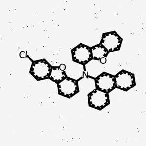 Clc1ccc2c(c1)oc1c(N(c3cc4ccccc4c4ccccc34)c3cccc4c3oc3ccccc34)cccc12